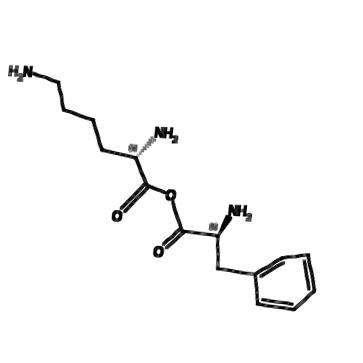 NCCCC[C@H](N)C(=O)OC(=O)[C@@H](N)Cc1ccccc1